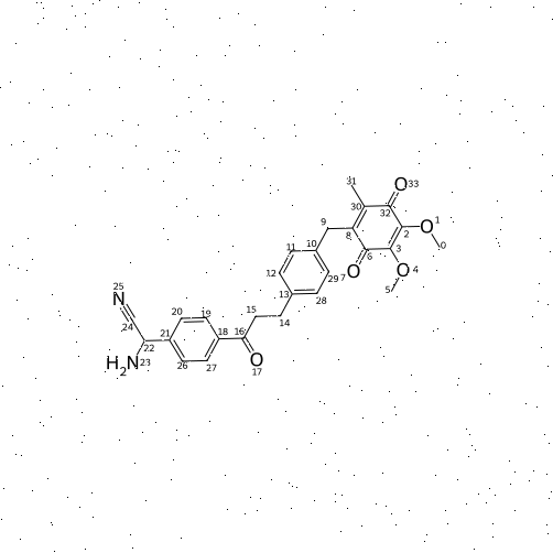 COC1=C(OC)C(=O)C(Cc2ccc(CCC(=O)c3ccc(C(N)C#N)cc3)cc2)=C(C)C1=O